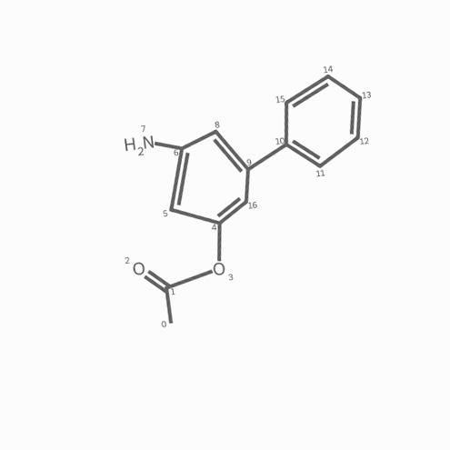 CC(=O)Oc1cc(N)cc(-c2ccccc2)c1